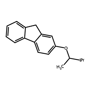 CC(C)C(C)Oc1ccc2c(c1)Cc1ccccc1-2